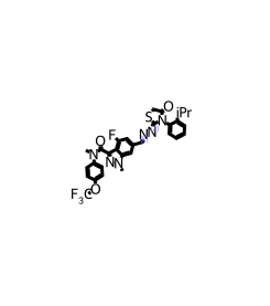 CC(C)c1ccccc1N1C(=O)CS/C1=N\N=C\c1cc(F)c2c(C(=O)N(C)c3ccc(OC(F)(F)F)cc3)nn(C)c2c1